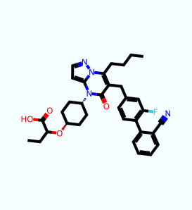 CCCCc1c(Cc2ccc(-c3ccccc3C#N)c(F)c2)c(=O)n([C@H]2CC[C@H](OC(CC)C(=O)O)CC2)c2ccnn12